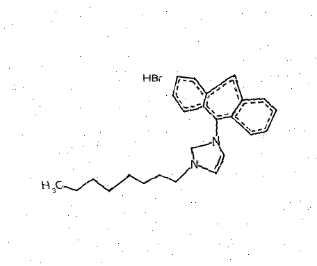 Br.CCCCCCCCN1C=CN(c2c3ccccc3cc3ccccc23)C1